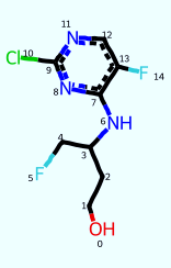 OCCC(CF)Nc1nc(Cl)ncc1F